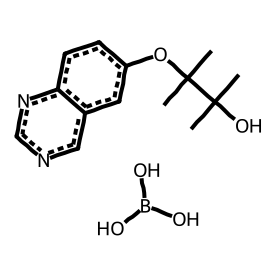 CC(C)(O)C(C)(C)Oc1ccc2ncncc2c1.OB(O)O